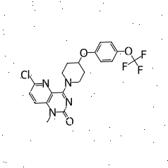 Cn1c(=O)nc(N2CCC(Oc3ccc(OC(F)(F)F)cc3)CC2)c2nc(Cl)ccc21